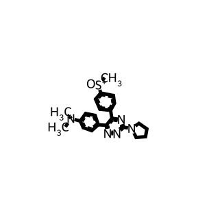 CN(C)c1ccc(-c2nnc(N3CCCC3)nc2-c2ccc([S+](C)[O-])cc2)cc1